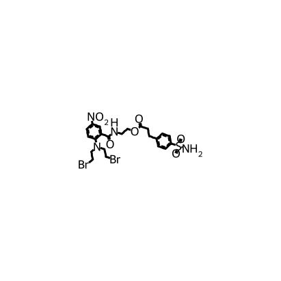 NS(=O)(=O)c1ccc(CCC(=O)OCCNC(=O)c2cc([N+](=O)[O-])ccc2N(CCBr)CCBr)cc1